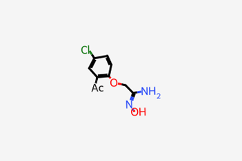 CC(=O)c1cc(Cl)ccc1OCC(N)=NO